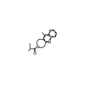 Cc1c2c(nc3ccccc13)CCN(C(=O)C(C)C)CC2